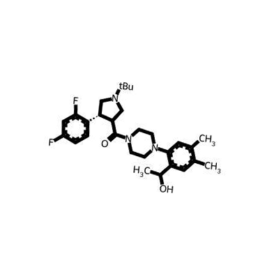 Cc1cc(C(C)O)c(N2CCN(C(=O)C3CN(C(C)(C)C)C[C@H]3c3ccc(F)cc3F)CC2)cc1C